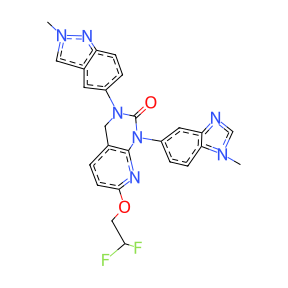 Cn1cc2cc(N3Cc4ccc(OCC(F)F)nc4N(c4ccc5c(c4)ncn5C)C3=O)ccc2n1